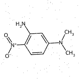 CN(C)c1ccc([N+](=O)[O-])c(N)c1